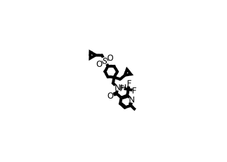 Cc1ccc(C(=O)NCC2(CC3CC3)CCC(S(=O)(=O)CC3CC3)CC2)c(C(F)(F)F)n1